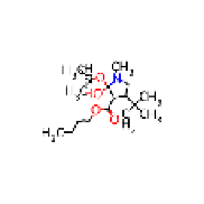 CCCCOC(=O)C1C(C(C)(C)C)CN(C)C1(O)O[SiH](C)C